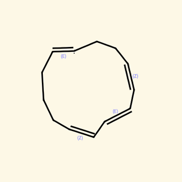 [C]1=C/CCC\C=C/C=C/C=C\CC/1